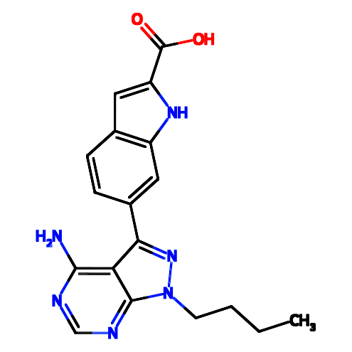 CCCCn1nc(-c2ccc3cc(C(=O)O)[nH]c3c2)c2c(N)ncnc21